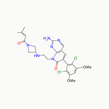 COc1cc(OC)c(Cl)c(-c2cc3cnc(N)nc3n(CCNC3CN(C(=O)C=C(C)C)C3)c2=O)c1Cl